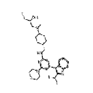 CN(CC(O)CF)[C@H]1CC[C@H](CNc2nc(N3CCOCC3)cc(-n3c(C(F)F)nc4ccccc43)n2)CC1